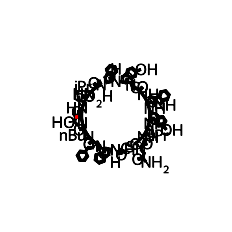 CCCC[C@H]1C(=O)N2C[C@@H](O)C[C@@H]2C(=O)N[C@@H](CC(=O)O)C(=O)N[C@@H](C(C)C)C(=O)N(C)[C@@H](Cc2ccccc2)C(=O)N[C@@H](Cc2ccc(O)cc2)C(=O)N(C)CC(=O)N[C@@H](Cc2c[nH]c3ccccc23)C(=O)N[C@@H](Cc2ccc(O)cc2)C(=O)N[C@@H](CC(C)C)C(=O)N[C@H](C(=O)NCC(N)=O)CSCC(=O)N[C@@H](Cc2ccccc2)C(=O)N(C)[C@@H](CCc2ccccc2)C(=O)N1C